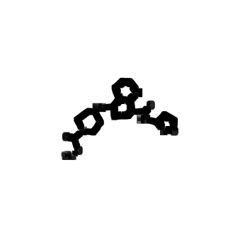 CC(C)(C)OC(=O)N1CCC(Nc2ccc(C(=O)Nc3ccon3)c3ncccc23)CC1